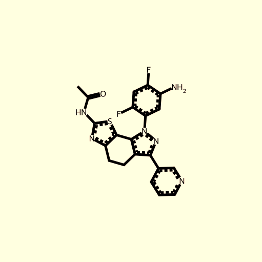 CC(=O)Nc1nc2c(s1)-c1c(c(-c3cccnc3)nn1-c1cc(N)c(F)cc1F)CC2